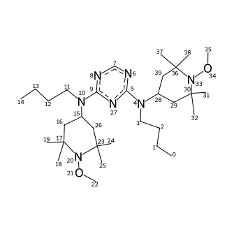 CCCCN(c1ncnc(N(CCCC)C2CC(C)(C)N(OC)C(C)(C)C2)n1)C1CC(C)(C)N(OC)C(C)(C)C1